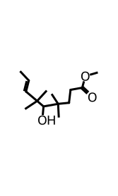 CC=CC(C)(C)C(O)C(C)(C)CCC(=O)OC